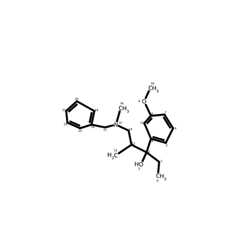 CCC(O)(c1cccc(OC)c1)C(C)CN(C)Cc1ccccc1